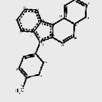 CC1=CC=C(n2c3c(c4ccccc42)C2=CC=CCC2C=C3)CC1